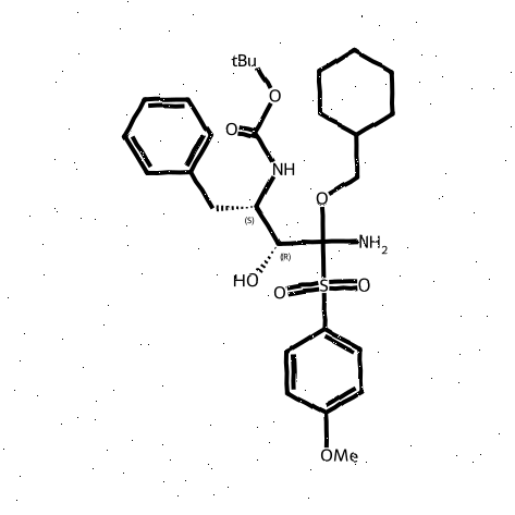 COc1ccc(S(=O)(=O)C(N)(OCC2CCCCC2)[C@H](O)[C@H](Cc2ccccc2)NC(=O)OC(C)(C)C)cc1